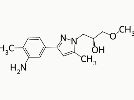 COC[C@@H](O)Cn1nc(-c2ccc(C)c(N)c2)cc1C